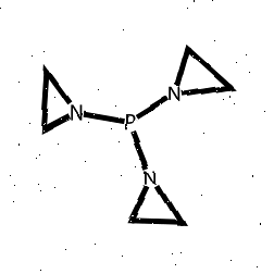 C1CN1P(N1CC1)N1CC1